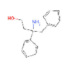 NC(CCO)(Cc1ccccc1)c1ccccc1